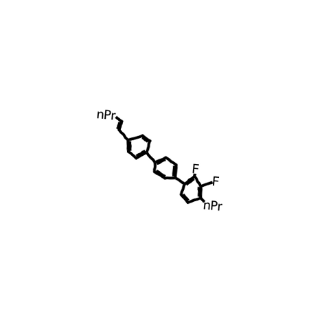 CCCC=Cc1ccc(-c2ccc(-c3ccc(CCC)c(F)c3F)cc2)cc1